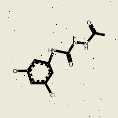 CC(=O)NNC(=O)Nc1cc(Cl)cc(Cl)c1